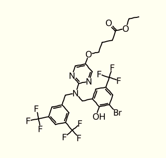 CCOC(=O)CCCOc1cnc(N(Cc2cc(C(F)(F)F)cc(C(F)(F)F)c2)Cc2cc(C(F)(F)F)cc(Br)c2O)nc1